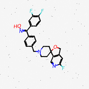 ON=C(c1ccc(CN2CCC3(CC2)OCc2cc(F)ncc23)cc1)c1ccc(F)c(F)c1